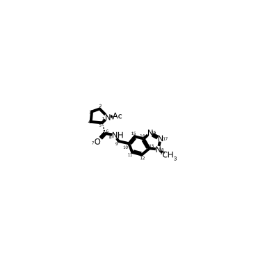 CC(=O)N1CCC[C@H]1C(=O)NCc1ccc2c(c1)nnn2C